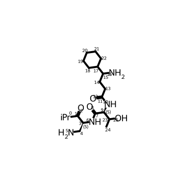 CC(C)C(=O)[C@H](CN)NC(=O)[C@@H](NC(=O)CCC(N)C1CCCCC1)C(C)O